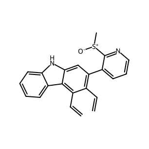 C=Cc1c(-c2cccnc2[S+](C)[O-])cc2[nH]c3ccccc3c2c1C=C